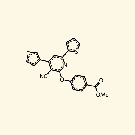 COC(=O)c1ccc(Oc2nc(-c3cccs3)cc(-c3ccoc3)c2C#N)cc1